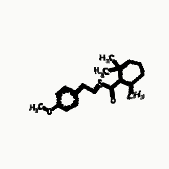 COc1ccc(CCSC(=O)C2C(C)CCCC2(C)C)cc1